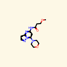 COCCC(=O)Nc1cc(N2CCOCC2)n2nccc2n1